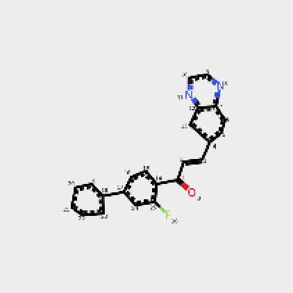 O=C(C=Cc1ccc2nccnc2c1)c1ccc(-c2ccccc2)cc1F